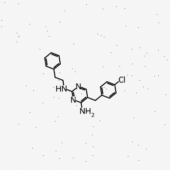 Nc1nc(NCCc2ccccc2)ncc1Cc1ccc(Cl)cc1